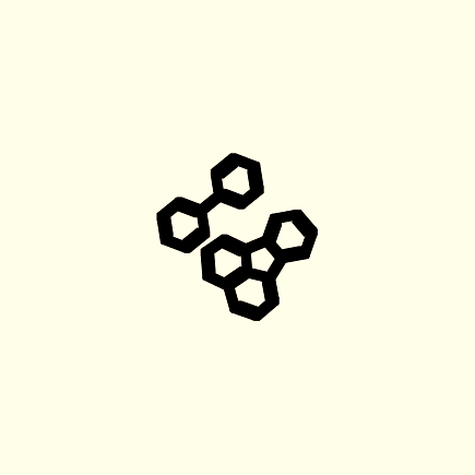 c1ccc(-c2ccccc2)cc1.c1ccc2c(c1)-c1cccc3cccc-2c13